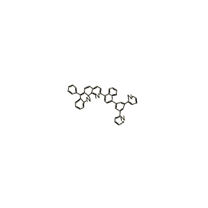 c1ccc(-c2c3ccccc3nc3c2ccc2ccc(-c4ccc(-c5cc(-c6ccccn6)cc(-c6ccccn6)c5)c5ccccc45)nc23)cc1